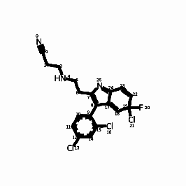 N#CCCNCCC1=C(c2ccc(Cl)cc2Cl)C2=CC(F)(Cl)C=CC2=N1